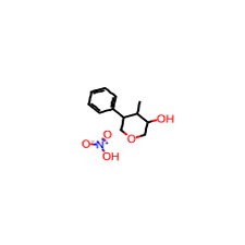 CC1C(O)COCC1c1ccccc1.O=[N+]([O-])O